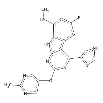 CNc1cc(F)cc2c1[nH]c1nc(Oc3cnc(C)nc3)nc(-c3c[nH]cn3)c12